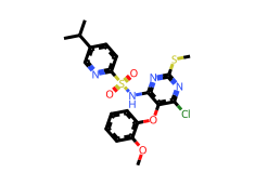 COc1ccccc1Oc1c(Cl)nc(SC)nc1NS(=O)(=O)c1ccc(C(C)C)cn1